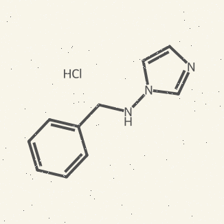 Cl.c1ccc(CNn2ccnc2)cc1